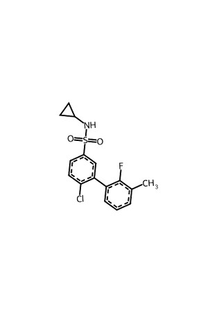 Cc1cccc(-c2cc(S(=O)(=O)NC3CC3)ccc2Cl)c1F